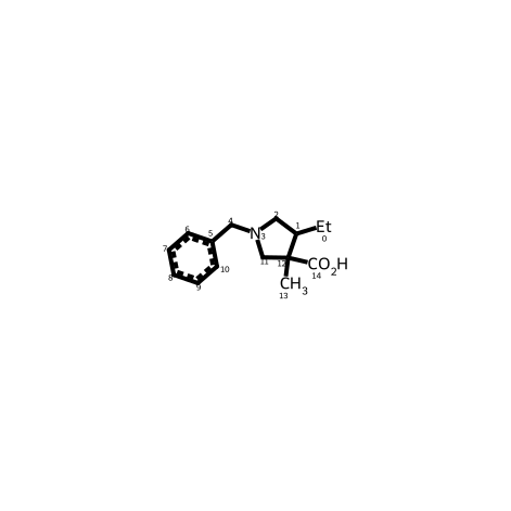 CCC1CN(Cc2ccccc2)CC1(C)C(=O)O